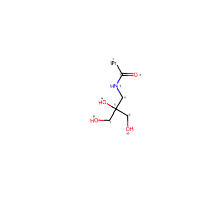 CC(C)C(=O)NCC(O)(CO)CO